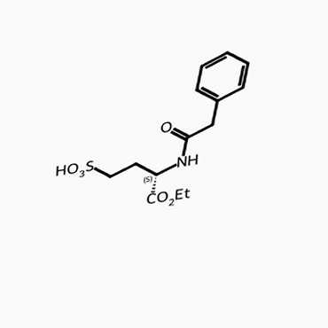 CCOC(=O)[C@H](CCS(=O)(=O)O)NC(=O)Cc1ccccc1